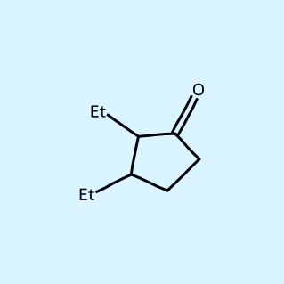 CCC1CCC(=O)C1CC